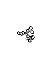 CC1(C)c2ccccc2-c2ccc(N(c3ccc4c(c3)C3(CCCCC3)C3C=CC=CC43C)c3cc(C45CC6CC(CC(C6)C4)C5)c4c(c3)oc3ccccc34)cc21